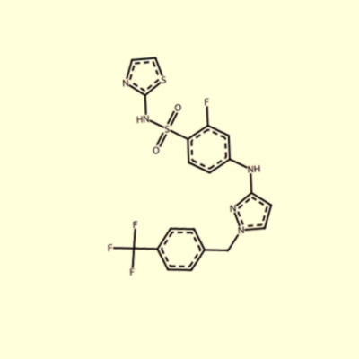 O=S(=O)(Nc1nccs1)c1ccc(Nc2ccn(Cc3ccc(C(F)(F)F)cc3)n2)cc1F